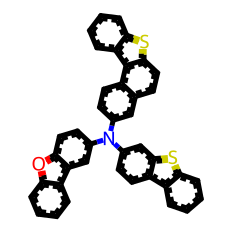 c1ccc2c(c1)oc1ccc(N(c3ccc4c(ccc5sc6ccccc6c54)c3)c3ccc4c(c3)sc3ccccc34)cc12